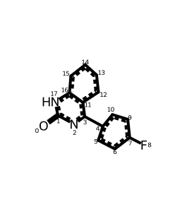 O=c1nc(-c2ccc(F)cc2)c2ccccc2[nH]1